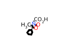 C[C@@H]1[C@@H](c2ccccc2)OC(=O)N1CC(=O)O